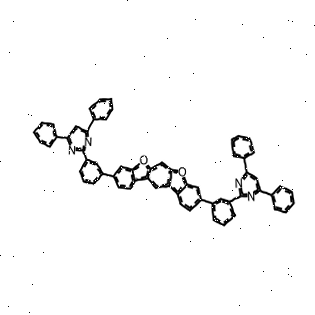 c1ccc(-c2cc(-c3ccccc3)nc(-c3cccc(-c4ccc5c(c4)oc4cc6oc7cc(-c8cccc(-c9nc(-c%10ccccc%10)cc(-c%10ccccc%10)n9)c8)ccc7c6cc45)c3)n2)cc1